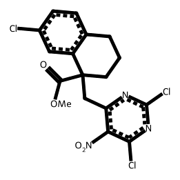 COC(=O)C1(Cc2nc(Cl)nc(Cl)c2[N+](=O)[O-])CCCc2ccc(Cl)cc21